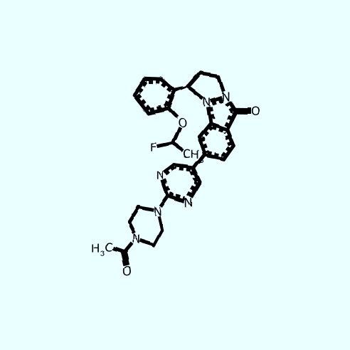 CC(=O)N1CCN(c2ncc(-c3ccc4c(=O)n5n(c4c3)[C@@H](c3ccccc3OC(C)F)CC5)cn2)CC1